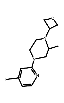 CC1CN(c2cc(I)ccn2)CCN1C1COC1